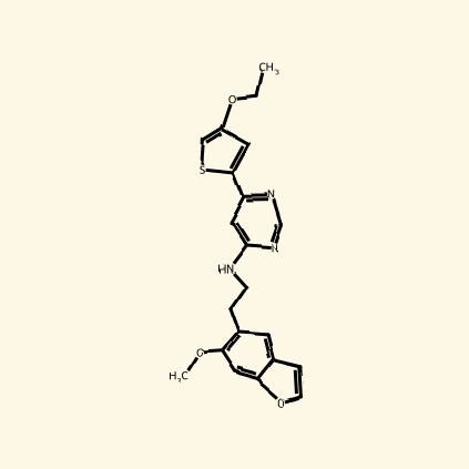 CCOc1csc(-c2cc(NCCc3cc4ccoc4cc3OC)ncn2)c1